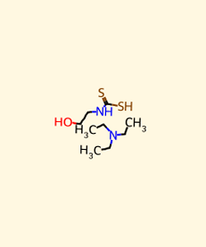 CCN(CC)CC.OCCNC(=S)S